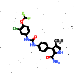 NC(=O)c1[nH]cc(C(=O)O)c1-c1ccc(NC(=O)Nc2ccc(OC(F)F)c(Cl)c2)cc1